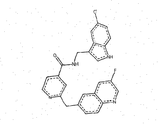 O=C(NCc1c[nH]c2ccc(Cl)cc12)c1ccnc(Cc2ccc3ncc(F)cc3c2)c1